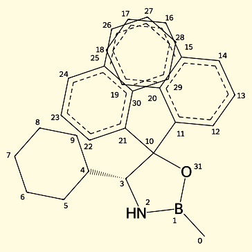 CB1N[C@H](C2CCCCC2)C(c2cccc3ccccc23)(c2cccc3ccccc23)O1